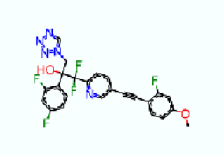 COc1ccc(C#Cc2ccc(C(F)(F)C(O)(Cn3cnnn3)c3ccc(F)cc3F)nc2)c(F)c1